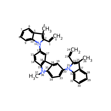 C=Cc1c(C)c2ccccc2n1-c1ccc2c(c1)c1cc(-n3c(C=C)c(C)c4ccccc43)ccc1n2C